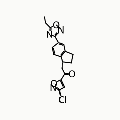 CCc1nc(-c2ccc3c(c2)CC[C@H]3CC(=O)c2cc(Cl)no2)no1